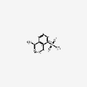 CSCc1c(C(N)=O)cccc1S(N)(=O)=O